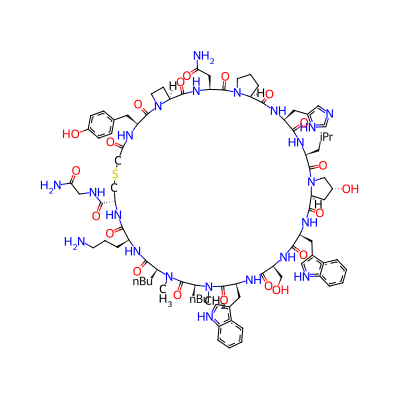 CCCC[C@H]1C(=O)N(C)[C@@H](CCCC)C(=O)N[C@@H](CCCN)C(=O)N[C@H](C(=O)NCC(N)=O)CSCC(=O)N[C@@H](Cc2ccc(O)cc2)C(=O)N2CC[C@H]2C(=O)N[C@@H](CC(N)=O)C(=O)N2CCC[C@H]2C(=O)N[C@@H](Cc2cnc[nH]2)C(=O)N[C@@H](CC(C)C)C(=O)N2C[C@H](O)C[C@H]2C(=O)N[C@@H](Cc2c[nH]c3ccccc23)C(=O)N[C@@H](CO)C(=O)N[C@@H](Cc2c[nH]c3ccccc23)C(=O)N1C